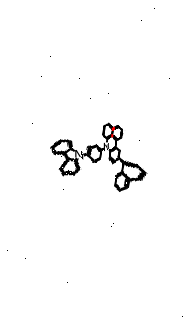 c1ccc(-c2cc(-c3cccc4ccccc34)ccc2N(c2ccccc2)c2ccc(-n3c4ccccc4c4ccccc43)cc2)cc1